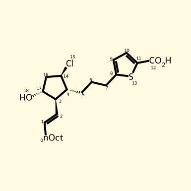 CCCCCCCC/C=C/[C@@H]1[C@@H](CCCc2ccc(C(=O)O)s2)[C@H](Cl)C[C@H]1O